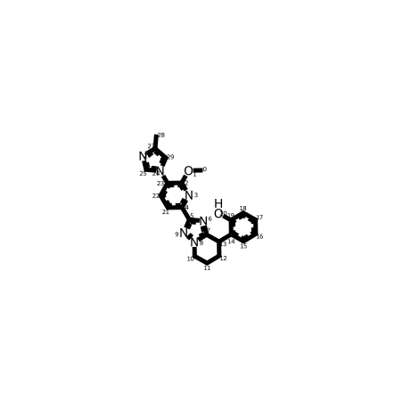 COc1nc(-c2nc3n(n2)CCCC3c2ccccc2O)ccc1-n1cnc(C)c1